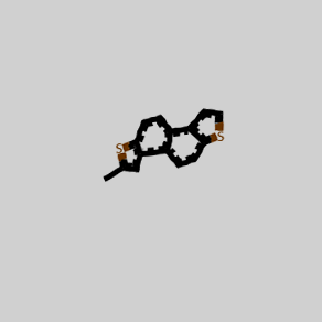 Cc1cc2c(ccc3c4ccsc4ccc23)s1